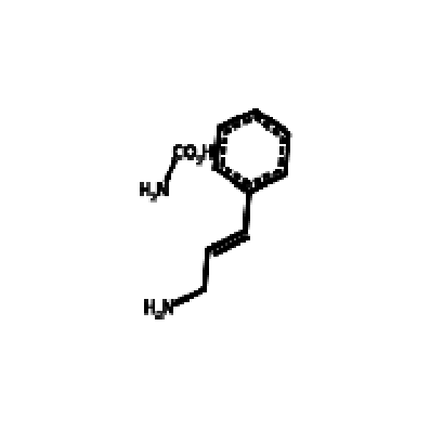 NC(=O)O.NCC=Cc1ccccc1